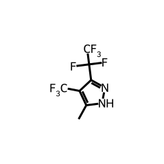 Cc1[nH]nc(C(F)(F)C(F)(F)F)c1C(F)(F)F